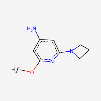 COc1cc(N)cc(N2CCC2)n1